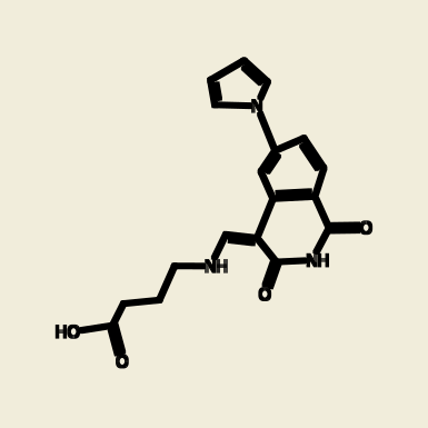 O=C(O)CCCNC=C1C(=O)NC(=O)c2ccc(-n3cccc3)cc21